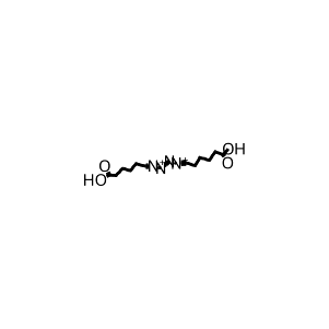 O=C(O)CCCCC#[N+]N=N[N+]#CCCCCC(=O)O